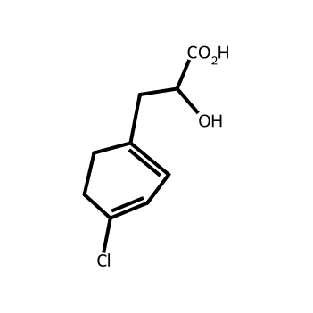 O=C(O)C(O)CC1=CC=C(Cl)CC1